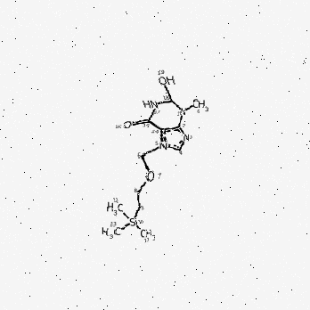 CN1c2ncn(COCC[Si](C)(C)C)c2C(=O)NC1O